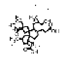 CCC(C)CC1C(CCC(=O)O)CCC(CCC(=O)O)(CC(C)CC)C1(CCC(=O)O)CC(C)CC